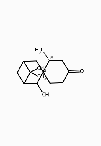 CC1C2CC(CC13CCC(=O)C[C@H]3C)C2(C)C